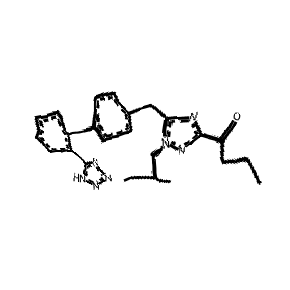 CCCC(=O)c1nc(Cc2ccc(-c3ccccc3-c3nnn[nH]3)cc2)n(CC(C)C)n1